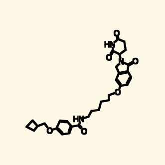 O=C1CCC(N2Cc3cc(OCCCCCCNC(=O)c4ccc(OCC5CCC5)cc4)ccc3C2=O)C(=O)N1